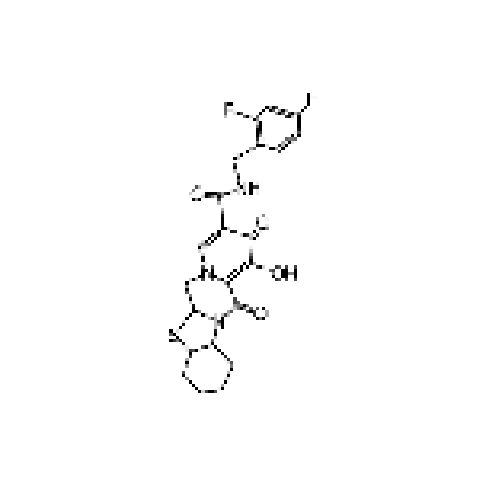 O=C(NCc1ccc(F)cc1F)c1cn2c(c(O)c1=O)C(=O)N1C(C2)SC2CCCCC21